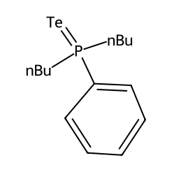 CCCCP(=[Te])(CCCC)c1ccccc1